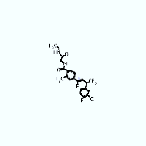 O=C(CNC(=O)c1ccc(/C(F)=C/C(c2ccc(F)c(Cl)c2)C(F)(F)F)cc1C(F)(F)F)NCC(F)(F)F